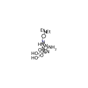 CCN(CC)c1ccc(/C=N/Nc2nc(N)c3ncn(C4OC(CO)C(O)C4O)c3n2)cc1